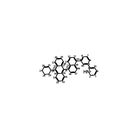 C1=CCNC(c2cccc(-c3cccc4c(-c5c6ccccc6c(C6C=CCCC6)c6ccccc56)cccc34)c2)=C1